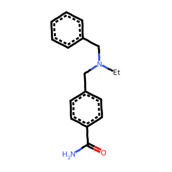 CCN(Cc1ccccc1)Cc1ccc(C(N)=O)cc1